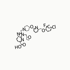 O=C(O)c1ccc2nc(CN3CCC(Oc4cccc(COc5ccc(Cl)cc5F)n4)CC3)n(C[C@@H]3CCO3)c2n1